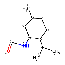 CC1CCC(C(C)C)[C](NC=O)C1